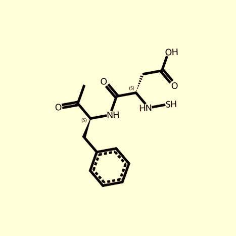 CC(=O)[C@H](Cc1ccccc1)NC(=O)[C@H](CC(=O)O)NS